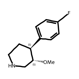 CO[C@@H]1CNCC[C@H]1c1ccc(F)cc1